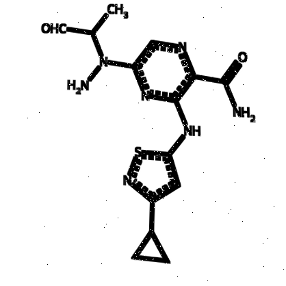 CC(C=O)N(N)c1cnc(C(N)=O)c(Nc2cc(C3CC3)ns2)n1